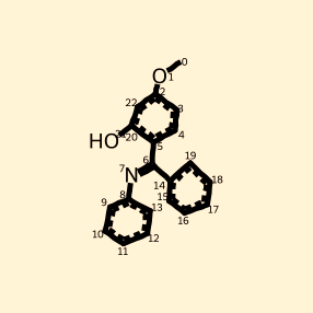 COc1ccc(/C(=N/c2ccccc2)c2ccccc2)c(O)c1